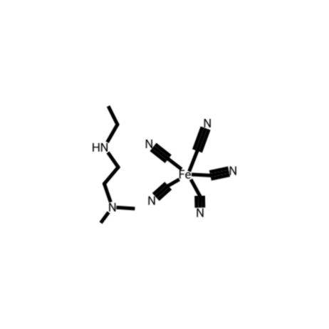 CCNCCN(C)C.N#[C][Fe]([C]#N)([C]#N)([C]#N)[C]#N